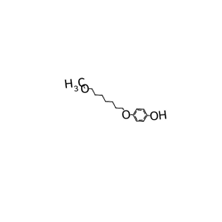 COCCCCCCCOc1ccc(O)cc1